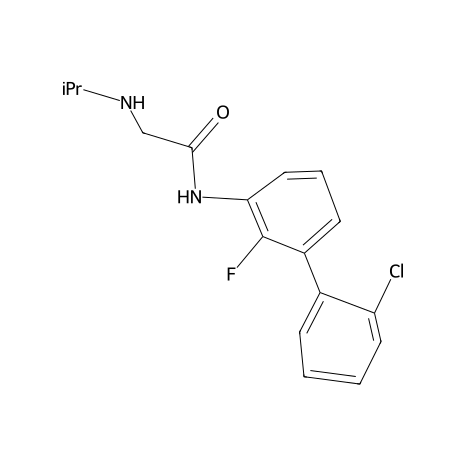 CC(C)NCC(=O)Nc1cccc(-c2ccccc2Cl)c1F